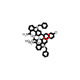 NC(=O)c1cccc2c1c1c(OC(C(=O)O)C(Oc3cc(-c4ccc(Cl)cc4)cc4c3c3c(C(N)=O)cccc3n4Cc3ccccc3)C(=O)O)cc(-c3ccccc3)cc1n2Cc1ccccc1